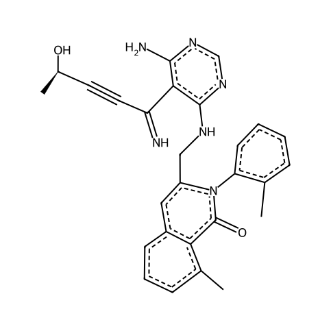 Cc1ccccc1-n1c(CNc2ncnc(N)c2C(=N)C#C[C@@H](C)O)cc2cccc(C)c2c1=O